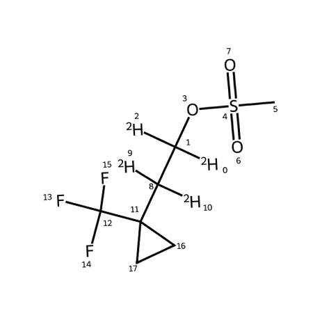 [2H]C([2H])(OS(C)(=O)=O)C([2H])([2H])C1(C(F)(F)F)CC1